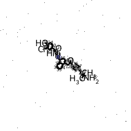 CC(C)(N)CCN1CCN(C(=O)Cc2ccc(/C=N/NC(=O)c3ccc(O)c(Cl)c3)c3ccccc23)CC1